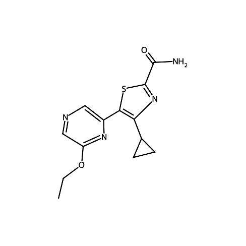 CCOc1cncc(-c2sc(C(N)=O)nc2C2CC2)n1